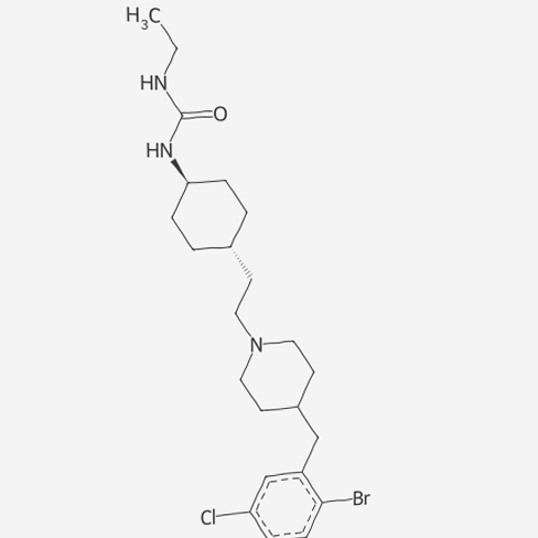 CCNC(=O)N[C@H]1CC[C@H](CCN2CCC(Cc3cc(Cl)ccc3Br)CC2)CC1